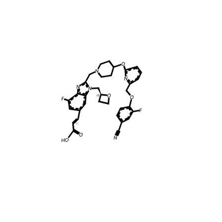 N#Cc1ccc(OCc2cccc(OC3CCN(Cc4nc5c(F)cc(/C=C/C(=O)O)cc5n4C[C@@H]4CCO4)CC3)n2)c(F)c1